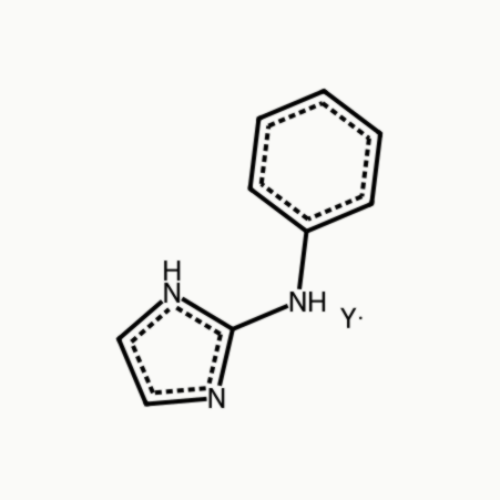 [Y].c1ccc(Nc2ncc[nH]2)cc1